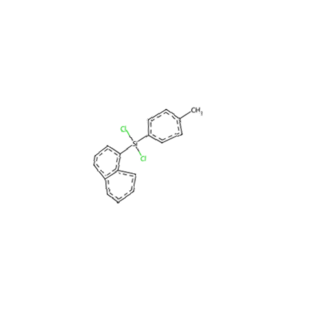 Cc1ccc([Si](Cl)(Cl)c2cccc3ccccc23)cc1